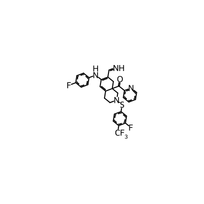 N=CC1=C(Nc2ccc(F)cc2)C=C2CCN(Sc3ccc(C(F)(F)F)c(F)c3)CC2(C(=O)c2ccccn2)C1